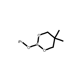 CC(C)OB1OCC(C)(C)CO1